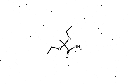 CCOC(C)(OCC)C(N)=O